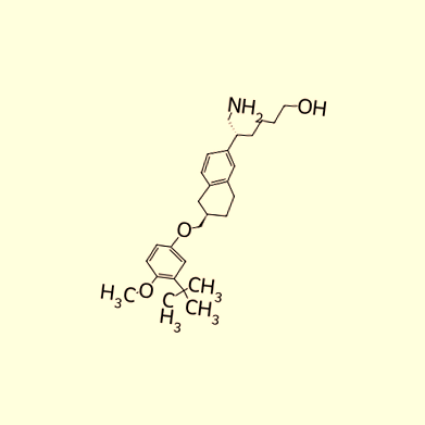 COc1ccc(OC[C@@H]2CCc3cc([C@H](CN)CCCCO)ccc3C2)cc1C(C)(C)C